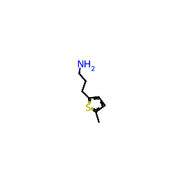 Cc1ccc(CCCN)s1